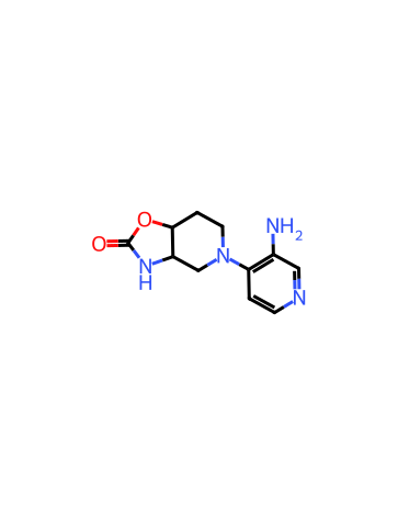 Nc1cnccc1N1CCC2OC(=O)NC2C1